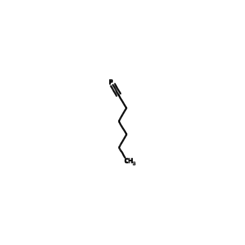 CCCCCC#P